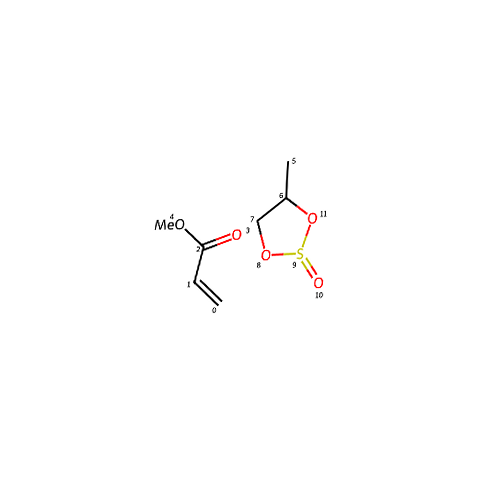 C=CC(=O)OC.CC1COS(=O)O1